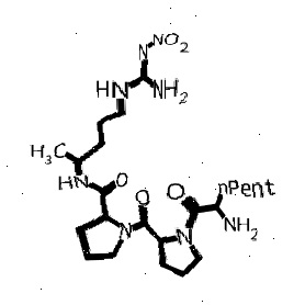 CCCCCC(N)C(=O)N1CCCC1C(=O)N1CCCC1C(=O)NC(C)CCCN/C(N)=N/[N+](=O)[O-]